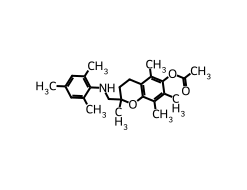 CC(=O)Oc1c(C)c(C)c2c(c1C)CCC(C)(CNc1c(C)cc(C)cc1C)O2